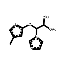 CC(=O)OC(C(Oc1cc(C)cs1)n1ccnc1)C(C)(C)C